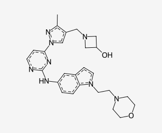 Cc1nn(-c2ccnc(Nc3ccc4c(ccn4CCN4CCOCC4)c3)n2)cc1CN1CC(O)C1